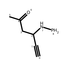 C#CC(CC(C)=O)NP